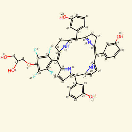 OCC(O)COc1c(F)c(F)c(-c2c3nc(c(-c4cccc(O)c4)c4ccc([nH]4)c(-c4cccc(O)c4)c4nc(c(-c5cccc(O)c5)c5[nH]c2CC5)CC4)C=C3)c(F)c1F